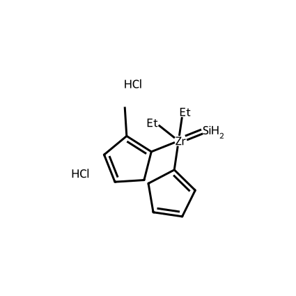 C[CH2][Zr](=[SiH2])([CH2]C)([C]1=CC=CC1)[C]1=C(C)C=CC1.Cl.Cl